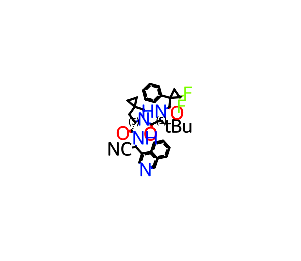 CC(C)(C)[C@H](NC(=O)C1(c2ccccc2)CC1(F)F)C(=O)N1CC2(CC2)C[C@H]1C(=O)NC(C#N)c1cncc2ccccc12